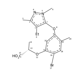 CCc1c(C)nn(C)c1Oc1cc(O[C@@H](C)C(=O)O)c(Br)cc1C